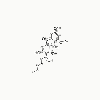 CCCCCC(O)c1c(O)cc2c(c1O)C(=O)c1c(OC)cc(OC)cc1C2=O